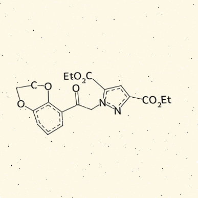 CCOC(=O)c1cc(C(=O)OCC)n(CC(=O)c2cccc3c2OCCO3)n1